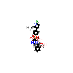 CCCCCc1nc(=O)c(S(=O)(=O)c2ccc(-c3ccc(F)nc3C)cc2)c(O)n1[C@@H](CO)c1ccccc1